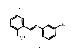 CC(C)(C)c1cccc(/C=C/c2ccccc2C(=O)O)c1